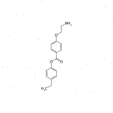 CCc1ccc(OC(=O)c2ccc(OCCN)cc2)cc1